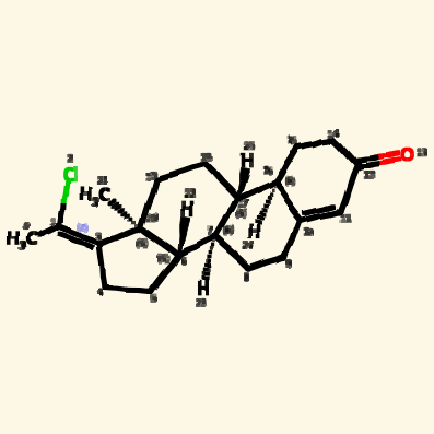 C/C(Cl)=C1\CC[C@H]2[C@@H]3CCC4=CC(=O)CC[C@@H]4[C@H]3CC[C@]12C